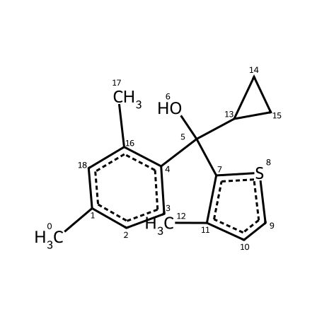 Cc1ccc(C(O)(c2sccc2C)C2CC2)c(C)c1